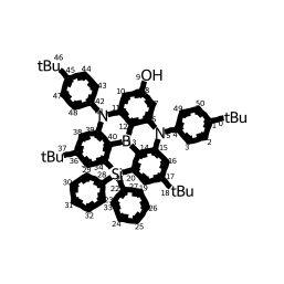 CC(C)(C)c1ccc(N2c3cc(O)cc4c3B3c5c2cc(C(C)(C)C)cc5[Si](c2ccccc2)(c2ccccc2)c2cc(C(C)(C)C)cc(c23)N4c2ccc(C(C)(C)C)cc2)cc1